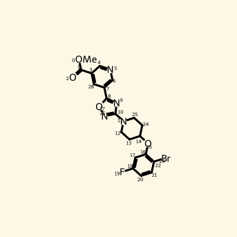 COC(=O)c1cncc(-c2nc(N3CCC(Oc4cc(F)ccc4Br)CC3)no2)c1